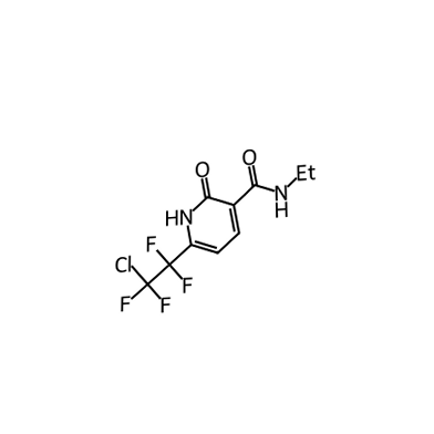 CCNC(=O)c1ccc(C(F)(F)C(F)(F)Cl)[nH]c1=O